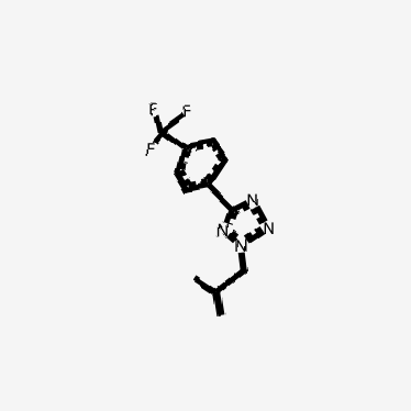 CC(C)Cn1nnc(-c2ccc(C(F)(F)F)cc2)n1